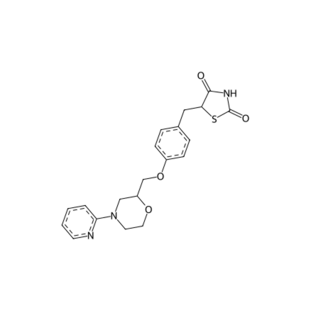 O=C1NC(=O)C(Cc2ccc(OCC3CN(c4ccccn4)CCO3)cc2)S1